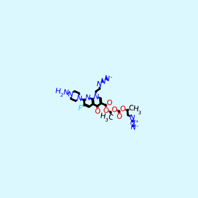 CC(CN=[N+]=[N-])OC(=O)OC(C)OC(=O)c1cn(CCN=[N+]=[N-])c2nc(N3CCN(N)CC3)c(F)cc2c1=O